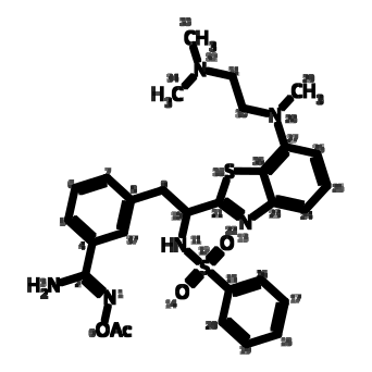 CC(=O)ON=C(N)c1cccc(CC(NS(=O)(=O)c2ccccc2)c2nc3cccc(N(C)CCN(C)C)c3s2)c1